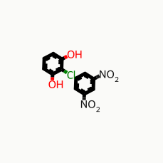 O=[N+]([O-])c1cccc([N+](=O)[O-])c1.Oc1cccc(O)c1Cl